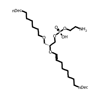 CCCCCCCCCCCCCCCCC=CO[C@H](COCCCCCCCCCCCCCCCC)COP(=O)(O)OCCN